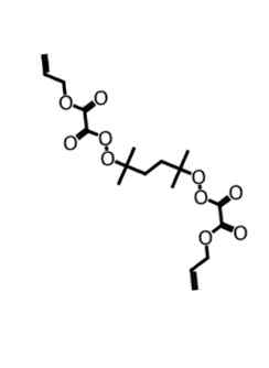 C=CCOC(=O)C(=O)OOC(C)(C)CCC(C)(C)OOC(=O)C(=O)OCC=C